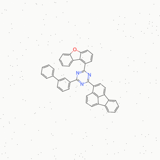 c1ccc(-c2cccc(-c3nc(-c4ccc5c6c(cccc46)-c4ccccc4-5)nc(-c4cccc5oc6ccccc6c45)n3)c2)cc1